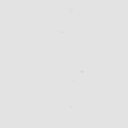 COC(C)(C)CN1CCC(N/C=C(\C=N)Cc2ccc3c4c(cccc24)C(=O)N3C2CCC(=O)NC2=O)CC1